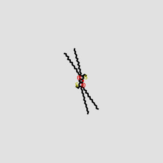 CCCCCCCCCCCCCCCC1(CCCCCCCCCCCCCCC)Oc2cc3c(cc2-c2sccc21)OC(CCCCCCCCCCCCCCC)(CCCCCCCCCCCCCCC)C1C=CSC31